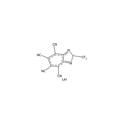 N#Cc1c(C#N)c(C#N)c2c(c1C#N)=NC(C(F)(F)F)N=2.[LiH]